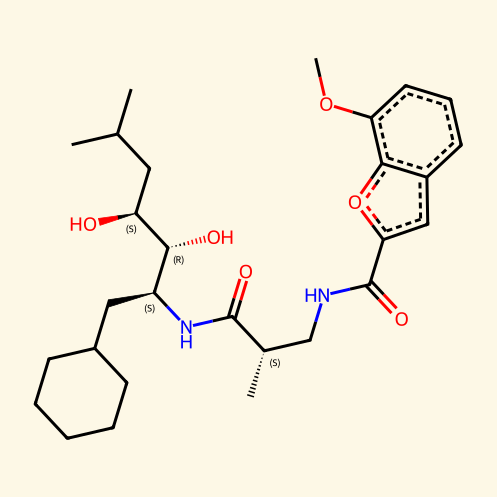 COc1cccc2cc(C(=O)NC[C@H](C)C(=O)N[C@@H](CC3CCCCC3)[C@@H](O)[C@@H](O)CC(C)C)oc12